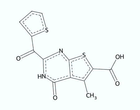 Cc1c(C(=O)O)sc2nc(C(=O)c3cccs3)[nH]c(=O)c12